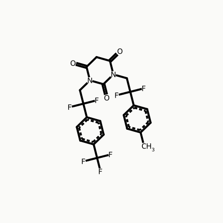 Cc1ccc(C(F)(F)CN2C(=O)CC(=O)N(CC(F)(F)c3ccc(C(F)(F)F)cc3)C2=O)cc1